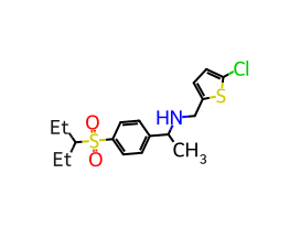 CCC(CC)S(=O)(=O)c1ccc(C(C)NCc2ccc(Cl)s2)cc1